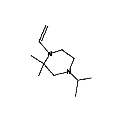 C=CN1CCN(C(C)C)CC1(C)C